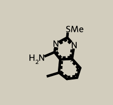 CSc1nc(N)c2c(C)cccc2n1